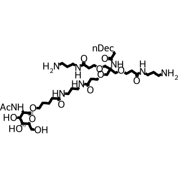 CCCCCCCCCCCC(=O)NC(COCCC(=O)NCCCN)(COCCC(=O)NCCCN)COCCC(=O)NCCCNC(=O)CCCCO[C@@H]1OC(CO)[C@@H](O)C(O)C1NC(C)=O